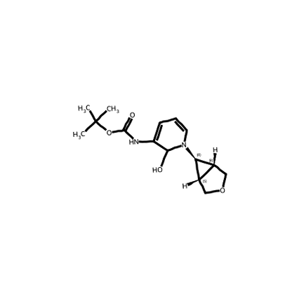 CC(C)(C)OC(=O)NC1=CC=CN([C@H]2[C@@H]3COC[C@@H]32)C1O